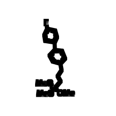 CO[Si](CCCc1ccc(-c2ccc(F)cc2)cc1)(OC)OC